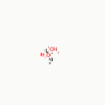 O.O.[Li].[Ni]